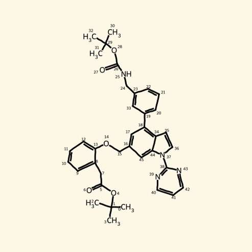 CC(C)(C)OC(=O)Cc1ccccc1OCc1cc(-c2cccc(CNC(=O)OC(C)(C)C)c2)c2ccn(-c3ncccn3)c2c1